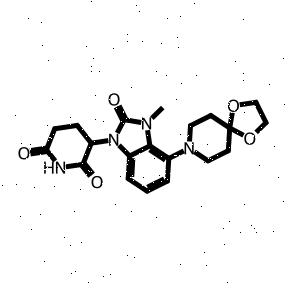 Cn1c(=O)n(C2CCC(=O)NC2=O)c2cccc(N3CCC4(CC3)OCCO4)c21